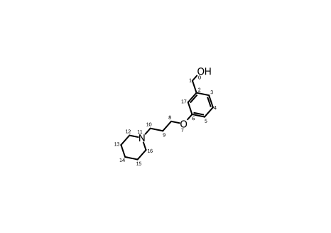 OCc1cccc(OCCCN2CCCCC2)c1